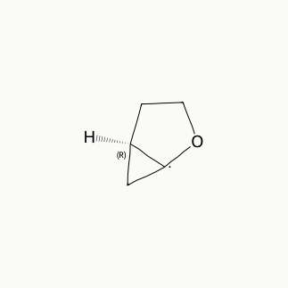 C1C[C@@H]2C[C]2O1